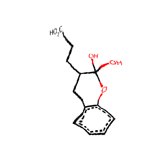 O=C(O)CCC1Cc2ccccc2OC1(O)O